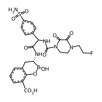 NS(=O)(=O)c1ccc(C(NC(=O)N2CCN(CCF)C(=O)C2=O)C(=O)N[C@H]2Cc3cccc(C(=O)O)c3OB2O)cc1